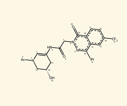 CC(=O)N1C=C(NC(=O)Cn2nc(C(C)C)c3cc(C(F)(F)F)ccc3c2=O)C[C@H](O)C1